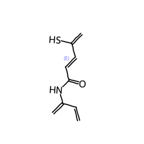 C=CC(=C)NC(=O)/C=C/C(=C)S